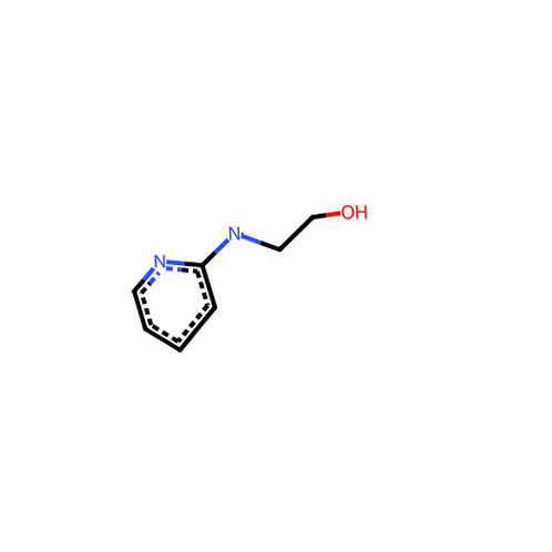 OCC[N]c1ccccn1